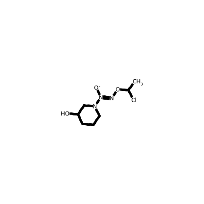 CC(Cl)O/N=[N+](\[O-])N1CCCC(O)C1